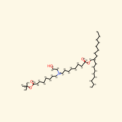 CCCCCCCCC(CCCCCCCC)COC(=O)CCCCCCCN(CCO)CCCCCCCC(=O)OC(C)(C)C